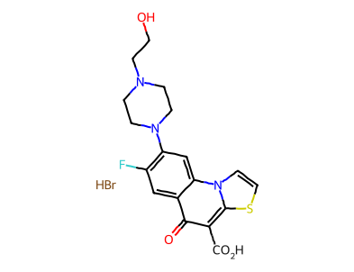 Br.O=C(O)c1c(=O)c2cc(F)c(N3CCN(CCO)CC3)cc2n2ccsc12